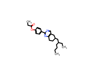 CCCCC(CC)CC1CCc2nc(-c3ccc(OC(=O)CC)cc3)ncc2C1